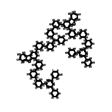 c1ccc(-c2nc(-c3ccccc3)nc(-c3cccc(-c4cccc(-c5cccc(-c6cc(-c7cccc(-c8cccc(N(c9ccccc9)c9cccc(-c%10cccc(-c%11cc(-c%12cccc(-c%13cccc(-c%14cccc(-c%15nc(-c%16ccccc%16)nc(-c%16ccccc%16)n%15)c%14)c%13)c%12)c%12oc%13ccccc%13c%12c%11)c%10)c9)c8)c7)cc7c6oc6ccccc67)c5)c4)c3)n2)cc1